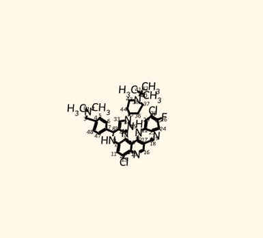 CN(C)Cc1ccc([C@H](Nc2cc(Cl)c3ncc(C#N)c(Nc4ccc(F)c(Cl)c4)c3c2)c2cn(C3CCN(C(C)(C)C)CC3)nn2)cc1